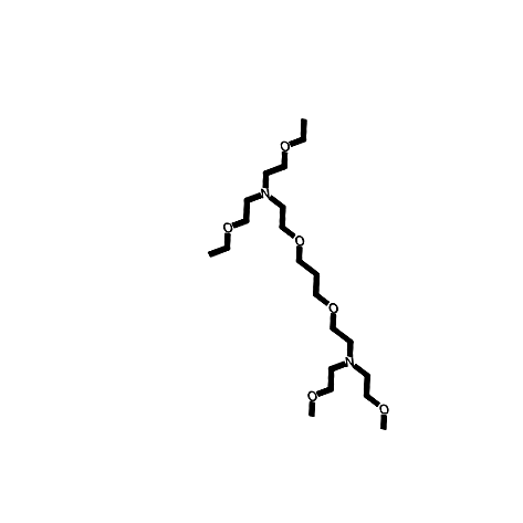 CCOCCN(CCOCC)CCOCCCOCCN(CCOC)CCOC